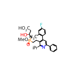 COP(=O)(CCc1c(-c2ccc(F)cc2C)cc(-c2ccccc2)nc1C(C)C)C[C@@H](O)CC(=O)O